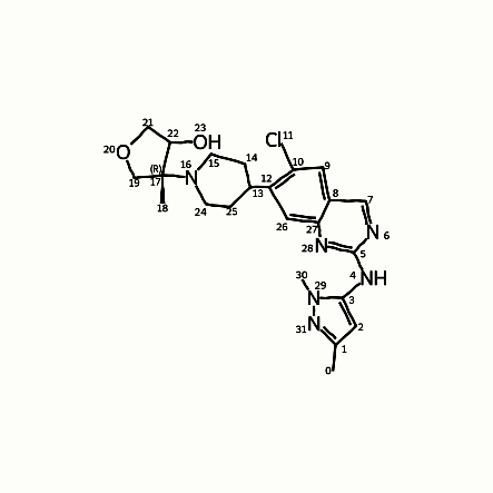 Cc1cc(Nc2ncc3cc(Cl)c(C4CCN([C@]5(C)COCC5O)CC4)cc3n2)n(C)n1